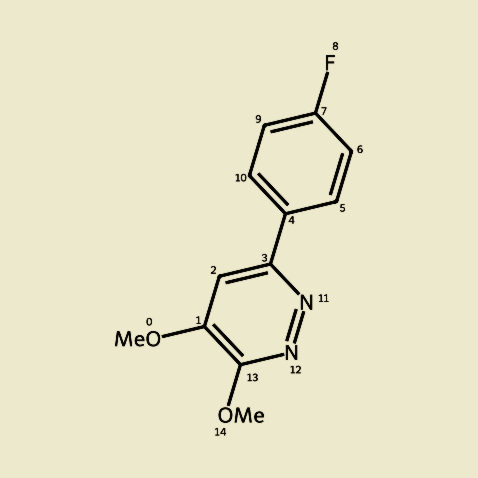 COc1cc(-c2ccc(F)cc2)nnc1OC